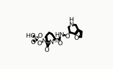 O=C(NOC1CNCc2ccoc21)[C@@H]1CCC2CN1C(=O)N2OS(=O)(=O)O